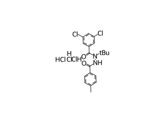 Cc1ccc(C(=O)NN(C(=O)c2cc(Cl)cc(Cl)c2)C(C)(C)C)cc1.Cl.Cl.Cl